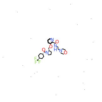 O=C(NCCN1CCOCC1)c1ncccc1OC[C@H]1CCCN1C(=O)[C@H]1CC[C@H](C(F)(F)F)CC1